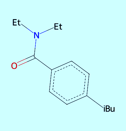 CCC(C)c1ccc(C(=O)N(CC)CC)cc1